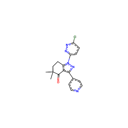 CC1(C)CCc2c(c(-c3ccncc3)nn2-c2ccc(Cl)nn2)C1=O